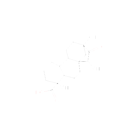 CC1C(=O)C2(C)CCC3C4CCCC(C)(C(=O)O)C4CCC13C2